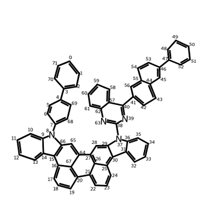 c1ccc(-c2ccc(-n3c4ccccc4c4c5cccc6c7cccc8c7c(cc7c8c8ccccc8n7-c7nc(-c8ccc9cc(-c%10ccccc%10)ccc9c8)c8ccccc8n7)c(cc43)c65)cc2)cc1